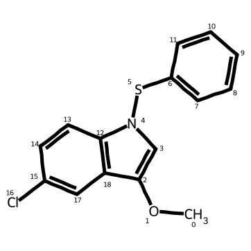 COc1cn(Sc2ccccc2)c2ccc(Cl)cc12